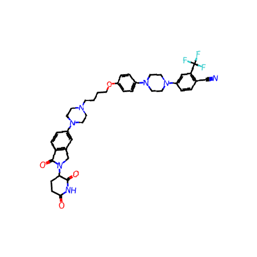 N#Cc1ccc(N2CCN(c3ccc(OCCCCN4CCN(c5ccc6c(c5)CN(C5CCC(=O)NC5=O)C6=O)CC4)cc3)CC2)cc1C(F)(F)F